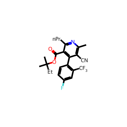 CCCc1nc(C)c(C#N)c(-c2ccc(F)cc2C(F)(F)F)c1C(=O)OC(C)(C)CC